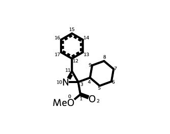 COC(=O)C1(C2CCCCC2)N=C1c1ccccc1